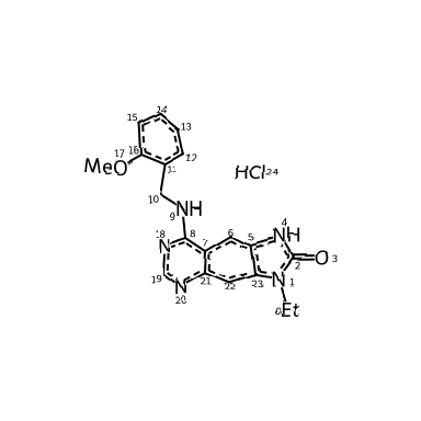 CCn1c(=O)[nH]c2cc3c(NCc4ccccc4OC)ncnc3cc21.Cl